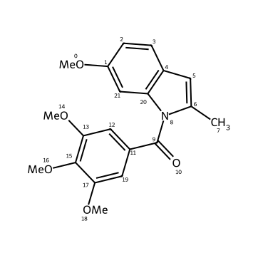 COc1ccc2cc(C)n(C(=O)c3cc(OC)c(OC)c(OC)c3)c2c1